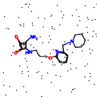 Nc1c(NCCCOc2cccc(CN3CCCCC3)n2)c(=O)c1=O